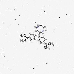 CN(C)c1cc[c]([Pt]([c]2ccc(N(C)C)cc2)[C@H]2/C=C\CC/C=C\C2)cc1